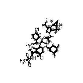 Cn1nc(NS(C)(=O)=O)c2c(Cl)ccc(-n3c([C@H](Cc4cc(F)cc(F)c4)NC(=O)Cn4nc(C(F)F)c5c4C(F)(F)[C@@H]4C[C@H]54)nc4cc(C#N)ccc4c3=O)c21